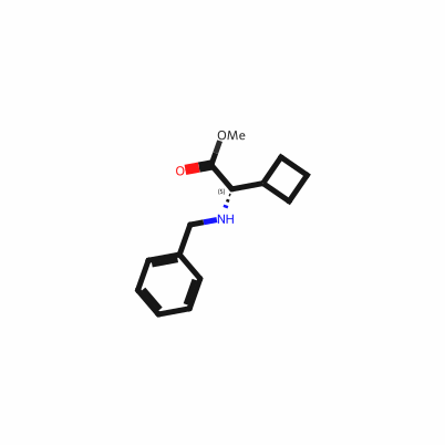 COC(=O)[C@@H](NCc1ccccc1)C1CCC1